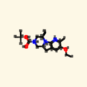 CCOc1cc2c(nc1C)N1C(C2)CN(C(=O)OC(C)(C)C)C[C@H]1C